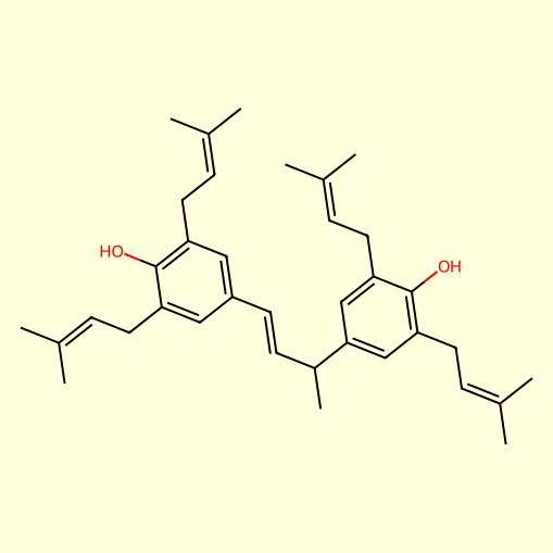 CC(C)=CCc1cc(/C=C/C(C)c2cc(CC=C(C)C)c(O)c(CC=C(C)C)c2)cc(CC=C(C)C)c1O